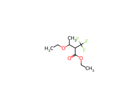 CCOC(=O)C(C(C)OCC)C(F)(F)F